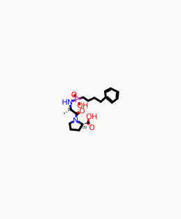 C[C@H](NP(=O)(O)CCCCc1ccccc1)C(=O)N1CCC[C@H]1C(=O)O